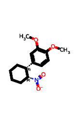 COc1ccc([C@H]2CCCC[C@H]2[N+](=O)[O-])cc1OC